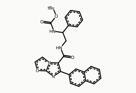 CC(C)(C)OC(=O)NC(CNC(=O)c1c(-c2ccc3ccccc3c2)nc2occn12)c1ccccc1